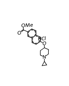 COC(=O)c1ccc2cc(OC3CCN(C4CC4)CC3)ccc2c1.Cl